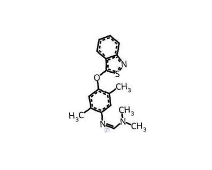 Cc1cc(Oc2snc3ccccc23)c(C)cc1/N=C\N(C)C